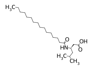 CCCCCCCCCCCCCCCC(=O)N[C@@H](CC(=O)O)CC(C)C